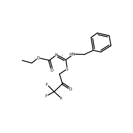 CCOC(=O)/N=C(/NCc1ccccc1)SCC(=O)C(F)(F)F